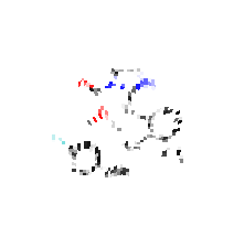 COc1ccc(F)c(COC(=O)n2ccnc2[C@@H](C)c2cccc(C)c2C)c1